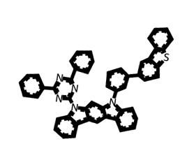 c1ccc(-c2nc(-c3ccccc3)nc(-n3c4ccccc4c4cc5c6ccccc6n(-c6cccc(-c7ccc8sc9ccccc9c8c7)c6)c5cc43)n2)cc1